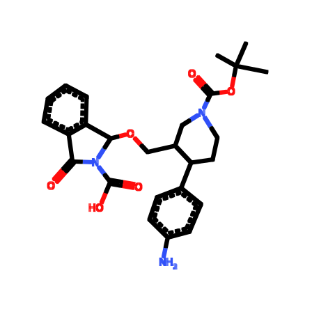 CC(C)(C)OC(=O)N1CCC(c2ccc(N)cc2)C(COC2c3ccccc3C(=O)N2C(=O)O)C1